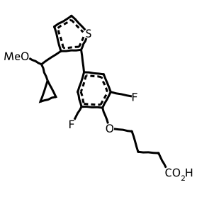 COC(c1ccsc1-c1cc(F)c(OCCCC(=O)O)c(F)c1)C1CC1